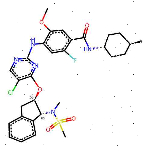 COc1cc(C(=O)N[C@H]2CC[C@H](C)CC2)c(F)cc1Nc1ncc(Cl)c(O[C@@H]2Cc3ccccc3[C@H]2N(C)S(C)(=O)=O)n1